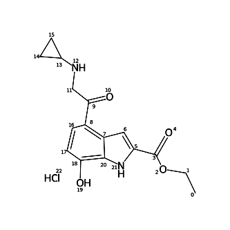 CCOC(=O)c1cc2c(C(=O)CNC3CC3)ccc(O)c2[nH]1.Cl